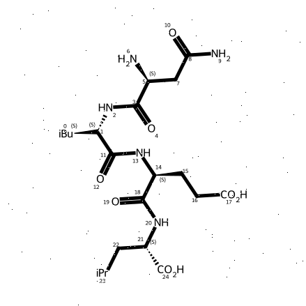 CC[C@H](C)[C@H](NC(=O)[C@@H](N)CC(N)=O)C(=O)N[C@@H](CCC(=O)O)C(=O)N[C@@H](CC(C)C)C(=O)O